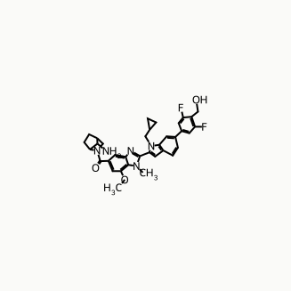 COc1cc(C(=O)N2CC3CCC2C3N)cc2nc(-c3cc4ccc(-c5cc(F)c(CO)c(F)c5)cc4n3CC3CC3)n(C)c12